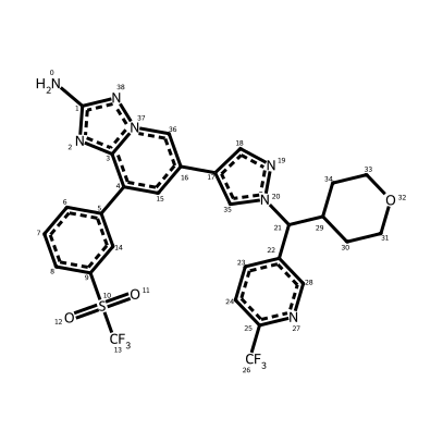 Nc1nc2c(-c3cccc(S(=O)(=O)C(F)(F)F)c3)cc(-c3cnn(C(c4ccc(C(F)(F)F)nc4)C4CCOCC4)c3)cn2n1